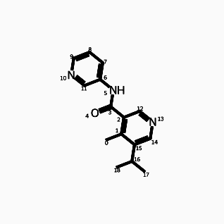 Cc1c(C(=O)Nc2cccnc2)cncc1C(C)C